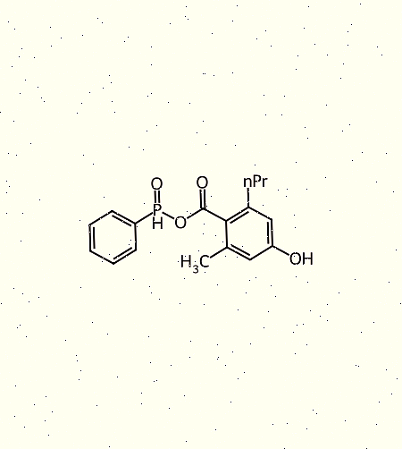 CCCc1cc(O)cc(C)c1C(=O)O[PH](=O)c1ccccc1